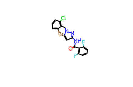 O=C(Nc1ccn(Cc2c(Cl)cccc2Br)n1)c1c(F)cccc1F